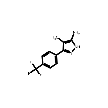 Cc1c(-c2ccc(C(F)(F)F)cc2)n[nH]c1N